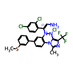 CSc1cccc(-c2ccc3c(c2)N(/C(=C\N)c2ccc(Cl)cc2Cl)N(Cl)c2c(C(F)(F)F)nc(C)n2-3)c1